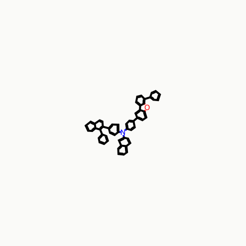 c1ccc(-c2c(-c3ccc(N(c4ccc(-c5ccc6oc7c(-c8ccccc8)cccc7c6c5)cc4)c4ccc5ccccc5c4)cc3)ccc3ccccc23)cc1